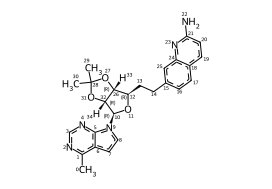 Cc1ncnc2c1ccn2[C@@H]1O[C@H](CCc2ccc3ccc(N)nc3c2)[C@H]2OC(C)(C)O[C@H]21